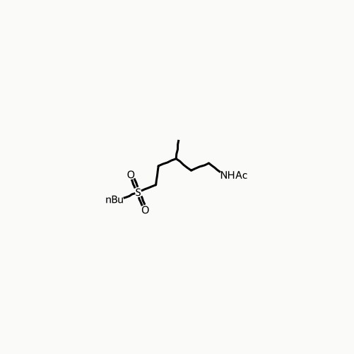 CCCCS(=O)(=O)CCC(C)CCNC(C)=O